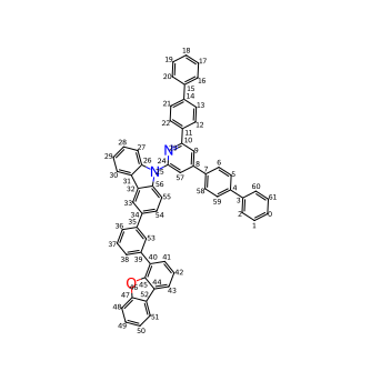 c1ccc(-c2ccc(-c3cc(-c4ccc(-c5ccccc5)cc4)nc(-n4c5ccccc5c5cc(-c6cccc(-c7cccc8c7oc7ccccc78)c6)ccc54)c3)cc2)cc1